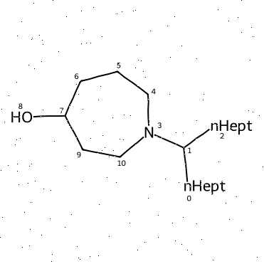 CCCCCCCC(CCCCCCC)N1CCCC(O)CC1